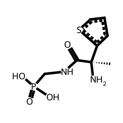 C[C@](N)(C(=O)NCP(=O)(O)O)c1cccs1